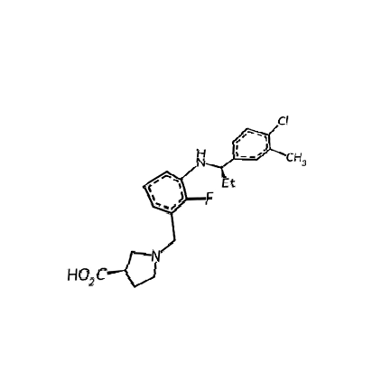 CC[C@@H](Nc1cccc(CN2CC[C@@H](C(=O)O)C2)c1F)c1ccc(Cl)c(C)c1